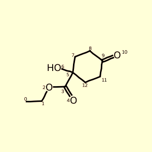 CCOC(=O)C1(O)CCC(=O)CC1